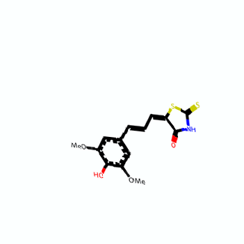 COc1cc(C=CC=C2SC(=S)NC2=O)cc(OC)c1O